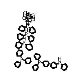 CC.CCC.[Cl][Ni][Cl].[Cl][Ni][Cl].[Cl][Ni][Cl].c1ccc(P(c2ccccc2)c2ccccc2)cc1.c1ccc(P(c2ccccc2)c2ccccc2)cc1.c1ccc(Pc2ccccc2)cc1.c1ccc(Pc2ccccc2)cc1.c1ccc(Pc2ccccc2)cc1.c1ccc(Pc2ccccc2)cc1